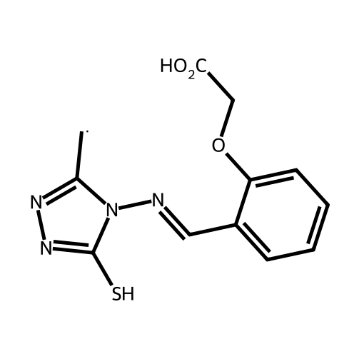 [CH2]c1nnc(S)n1/N=C/c1ccccc1OCC(=O)O